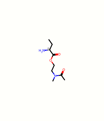 CC[C@H](N)C(=O)OCCN(C)C(C)=O